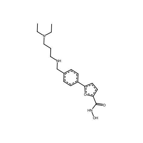 CCN(CC)CCCNCc1ccc(-c2ccc(C(=O)NO)o2)cc1